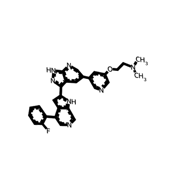 CN(C)CCOc1cncc(-c2cnc3[nH]nc(-c4cc5c(-c6ccccc6F)cncc5[nH]4)c3c2)c1